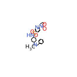 CN(Cc1ccccc1)[C@H]1CC[C@H](NS(=O)(=O)c2ccc(N3CCOC3=O)nc2)CC1